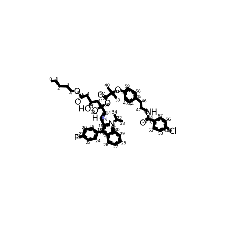 CCCCCOC(=O)CC(O)CC(O)(/C=C/c1c(-c2ccc(F)cc2)c2ccccc2n1C(C)C)OC(=O)C(C)(C)Oc1ccc(CCNC(=O)c2ccc(Cl)cc2)cc1